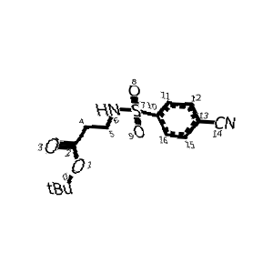 CC(C)(C)OC(=O)CCNS(=O)(=O)c1ccc(C#N)cc1